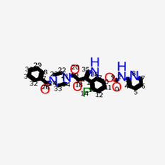 O=C(Nc1ccccn1)Oc1ccc(F)c2c(C(=O)C(=O)N3CCN(C(=O)c4ccccc4)CC3)c[nH]c12